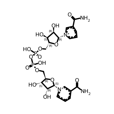 NC(=O)c1ccc[n+]([C@@H]2O[C@H](COP(=O)(O)OP(=O)(O)OC[C@H]3O[C@H]([n+]4cccc(C(N)=O)c4)[C@H](O)[C@@H]3O)[C@@H](O)[C@H]2O)c1